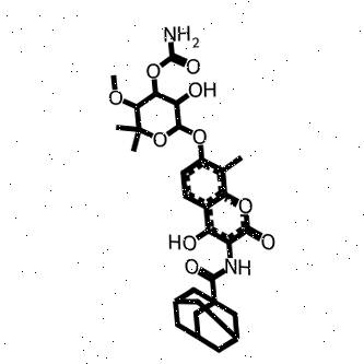 COC1C(OC(N)=O)C(O)C(Oc2ccc3c(O)c(NC(=O)C45CC6CC(CC(C6)C4)C5)c(=O)oc3c2C)OC1(C)C